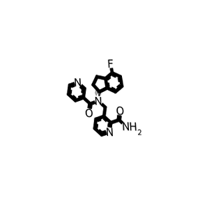 NC(=O)c1ncccc1CN(C(=O)c1cccnc1)[C@@H]1CCc2c(F)cccc21